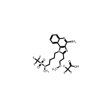 COCCc1nc2c(N)nc3ccccc3c2n1CCCCN(C)S(=O)(=O)C(F)(F)F.O=C(O)C(F)(F)F